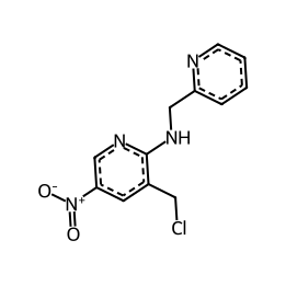 O=[N+]([O-])c1cnc(NCc2ccccn2)c(CCl)c1